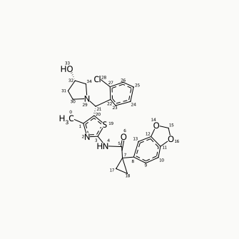 Cc1nc(NC(=O)C2(c3ccc4c(c3)OCO4)CC2)sc1[C@@H](c1ccccc1Cl)N1CC[C@H](O)C1